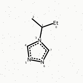 CCC(C)n1cnnc1